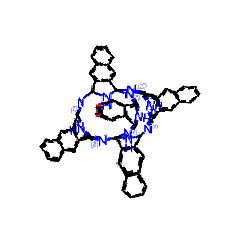 c1ccc2cc3c(cc2c1)C1/N=c2\[nH]/c(c4cc5ccccc5cc24)=N\C24/N=c5\[nH]/c(c6cc7ccccc7cc56)=N\C3(/N=c3\[nH]/c(c5cc6ccccc6cc35)=N\C(N2)c2cc3ccccc3cc24)N1